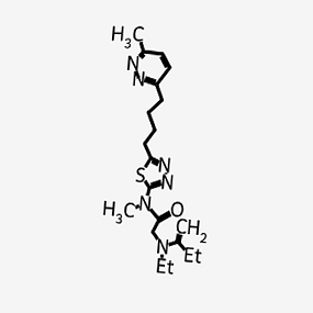 C=C(CC)N(CC)CC(=O)N(C)c1nnc(CCCCc2ccc(C)nn2)s1